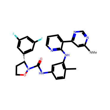 CNc1cc(-c2cccnc2Nc2cc(NC(=O)N3OCC[C@@H]3c3cc(F)cc(F)c3)ccc2C)ncn1